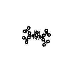 c1ccc(N(c2ccccc2)c2ccc3c(c2)c2cc(N(c4ccccc4)c4ccccc4)ccc2n3-c2cnc3c(c2)c2nccnc2c2cc(-n4c5ccc(N(c6ccccc6)c6ccccc6)cc5c5cc(N(c6ccccc6)c6ccccc6)ccc54)cnc23)cc1